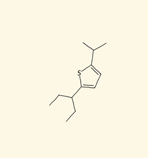 CCC(CC)c1ccc(C(C)C)s1